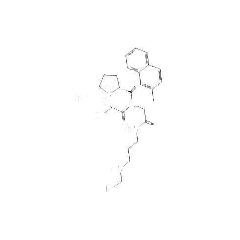 CCC(CC)C(=O)N(C(=O)[C@@H]1CCCN1)[C@H](Cc1ccc2ccccc2c1)C(=O)NCCCNCC(C)C.Cl